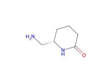 NC[C@@H]1CCCC(=O)N1